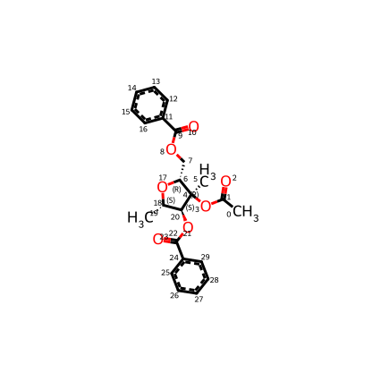 CC(=O)O[C@]1(C)[C@@H](COC(=O)c2ccccc2)O[C@@H](C)[C@@H]1OC(=O)c1ccccc1